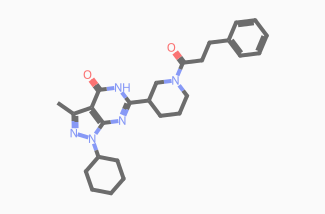 Cc1nn(C2CCCCC2)c2nc(C3CCCN(C(=O)CCc4ccccc4)C3)[nH]c(=O)c12